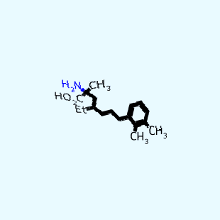 CCC(CCCc1cccc(C)c1C)CC(C)(N)C(=O)O